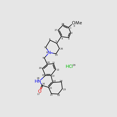 COc1ccc(C2CCN(Cc3ccc4c5c(c(=O)[nH]c4c3)CCCC5)CC2)cc1.Cl